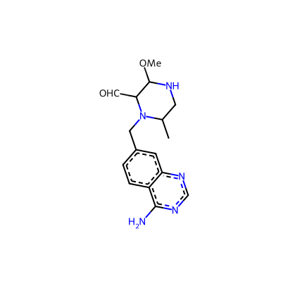 COC1NCC(C)N(Cc2ccc3c(N)ncnc3c2)C1C=O